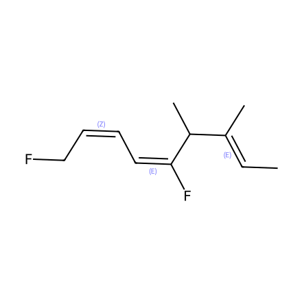 C/C=C(\C)C(C)/C(F)=C\C=C/CF